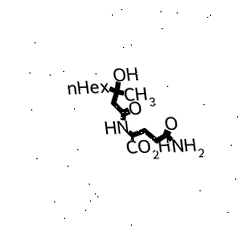 CCCCCCC(C)(O)CC(=O)N[C@@H](CCC(N)=O)C(=O)O